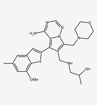 COc1cc(C)cc2cc(-c3c(CNCC(C)O)c(CN4CCOCC4)n4ncnc(N)c34)sc12